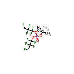 C[Si](C)(C)OP(=O)(OC(F)(F)C(F)(F)CF)OC(F)(F)C(F)(F)CF